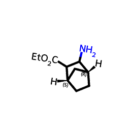 CCOC(=O)C1C(N)[C@@H]2CC[C@H]1C2